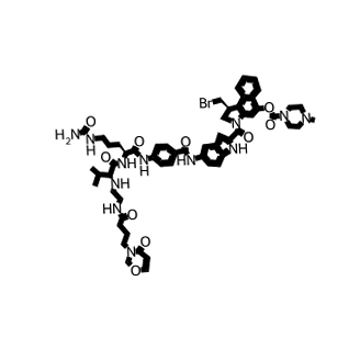 CC(C)[C@H](NCCNC(=O)CCCN1COC=CC1=O)C(=O)N[C@@H](CCCNC(N)=O)C(=O)Nc1ccc(C(=O)Nc2ccc3[nH]c(C(=O)N4C[C@@H](CBr)c5c4cc(OC(=O)N4CCN(C)CC4)c4ccccc54)cc3c2)cc1